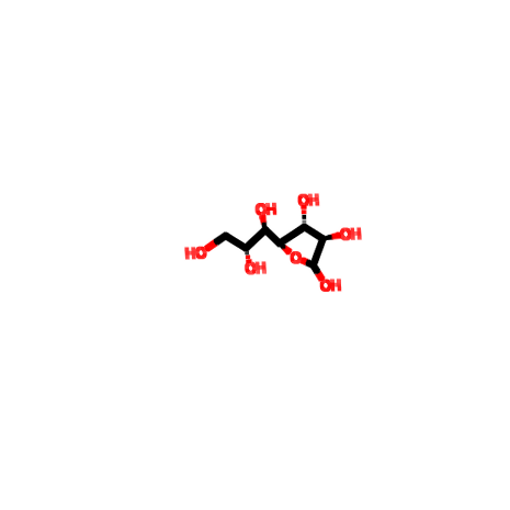 OC[C@@H](O)[C@@H](O)[C@@H]1OC(O)[C@H](O)[C@H]1O